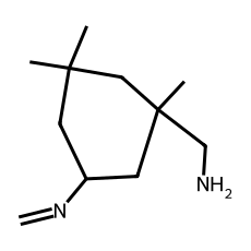 C=NC1CC(C)(C)CC(C)(CN)C1